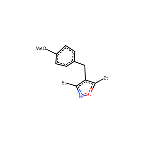 CCc1noc(CC)c1Cc1ccc(OC)cc1